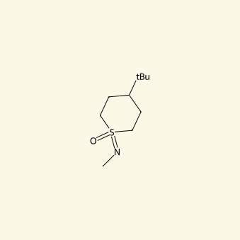 CN=S1(=O)CCC(C(C)(C)C)CC1